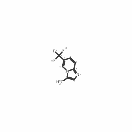 Cc1cnc2ccc(C(F)(F)F)cn12